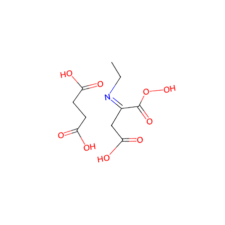 CCN=C(CC(=O)O)C(=O)OO.O=C(O)CCC(=O)O